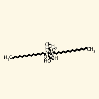 CCCCCCCCCCCCCCCC(=O)N[N+](CCC)(CC(O)O)NC(=O)CCCCCCCCCCCCCCC.[Cl-]